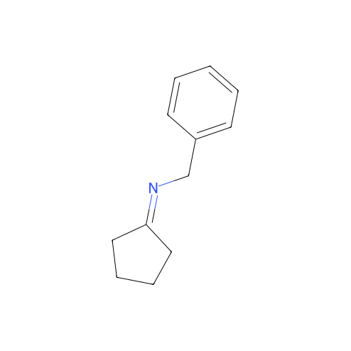 c1ccc(CN=C2CCCC2)cc1